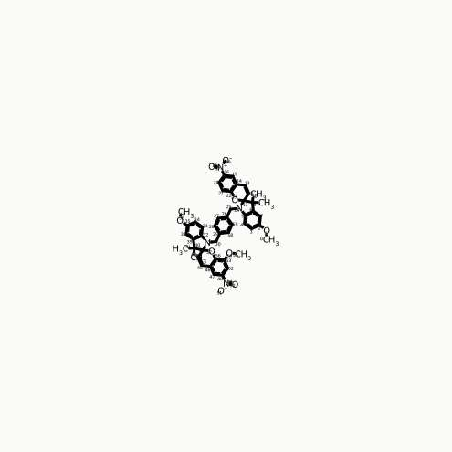 COc1ccc2c(c1)C(C)(C)C1(C=Cc3cc([N+](=O)[O-])ccc3O1)N2Cc1ccc(CN2c3ccc(OC)cc3C(C)(C)C23C=Cc2cc([N+](=O)[O-])cc(OC)c2O3)cc1